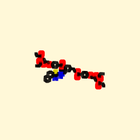 C=CC(=O)OCC(COc1ccc(C(=O)OCCc2ccc(OC(=O)c3ccc(OCC(COC(=O)C=C)OC(=O)C=C)cc3)c(/C=N/N(C)c3nc4c(ccc5ccccc54)s3)c2)cc1)OC(=O)C=C